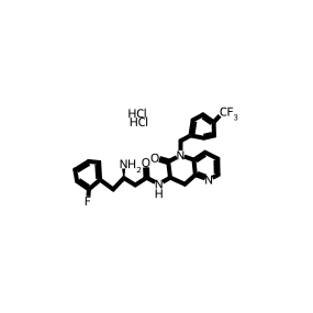 Cl.Cl.N[C@@H](CC(=O)NC1Cc2ncccc2N(Cc2ccc(C(F)(F)F)cc2)C1=O)Cc1ccccc1F